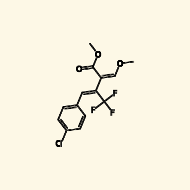 COC=C(C(=O)OC)C(=Cc1ccc(Cl)cc1)C(F)(F)F